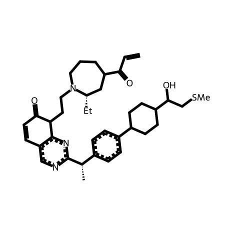 C=CC(=O)C1CCCN(CCC2C(=O)C=Cc3cnc([C@@H](C)c4ccc(C5CCC(C(O)CSC)CC5)cc4)nc32)[C@@H](CC)C1